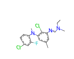 CCN(C)C=Nc1cc(C)cc(N(C)c2ccc(Cl)cc2F)c1Cl